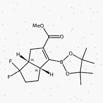 COC(=O)C1=C(B2OC(C)(C)C(C)(C)O2)[C@@H]2CCC(F)(F)[C@@H]2C1